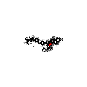 C[C@H](N)C(=O)N[C@@H](C)C(=O)Nc1cccc(Cc2ccc([C@@H]3O[C@@H]4C[C@H]5[C@@H]6C[C@H](F)C7=CC(=O)C=C[C@]7(C)[C@@]6(F)[C@@H](O)C[C@]5(C)[C@]4(C(=O)COP(=O)(OC(C)(C)C)OC(C)(C)C)O3)cc2)c1